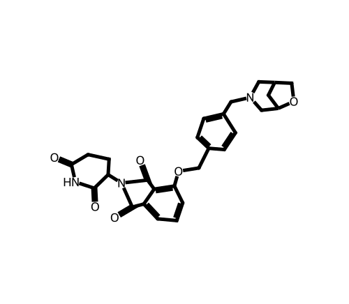 O=C1CCC(N2C(=O)c3cccc(OCc4ccc(CN5CC6COC(C6)C5)cc4)c3C2=O)C(=O)N1